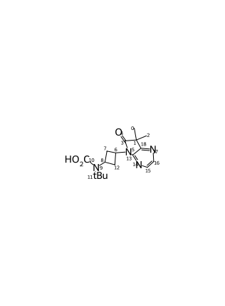 CC1(C)C(=O)N(C2CC(N(C(=O)O)C(C)(C)C)C2)c2nccnc21